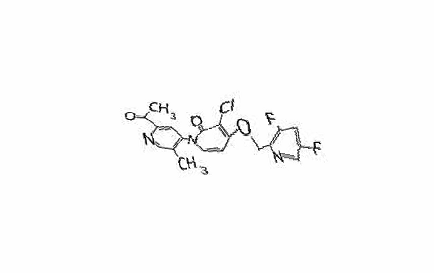 CC(=O)c1cc(-n2ccc(OCc3ncc(F)cc3F)c(Cl)c2=O)c(C)cn1